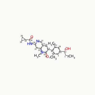 CCC(O)c1cc(C)c(-c2cc3cnc(NC(=O)C4CC4)cc3n(C)c2=O)c(C)c1